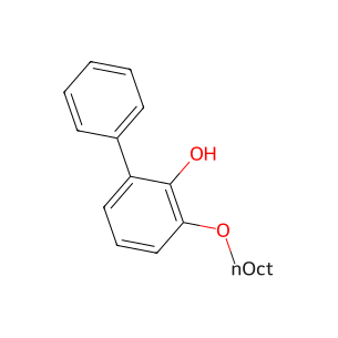 CCCCCCCCOc1cccc(-c2ccccc2)c1O